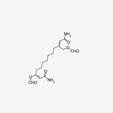 NC(=O)C=C(CCCCCCCC(=CC(N)=O)OC=O)COC=O